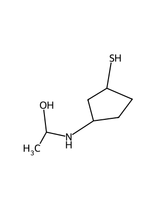 CC(O)NC1CCC(S)C1